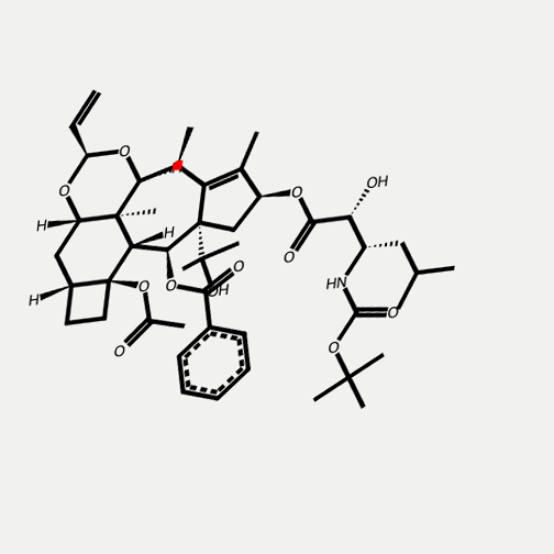 C=C[C@@H]1O[C@H]2C[C@H]3CC[C@@]3(OC(C)=O)[C@H]3[C@H](OC(=O)c4ccccc4)[C@]4(C(C)(C)O)C[C@H](OC(=O)[C@H](O)[C@H](CC(C)C)NC(=O)OC(C)(C)C)C(C)=C4[C@H](C)[C@H](O1)[C@]23C